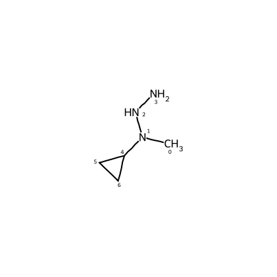 CN(NN)C1CC1